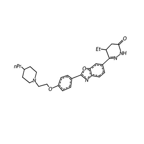 CCCC1CCN(CCOc2ccc(-c3nc4ccc(C5=NNC(=O)CC5CC)cc4o3)cc2)CC1